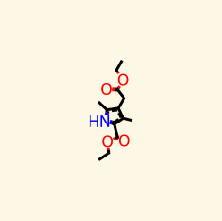 CCOC(=O)Cc1c(C)[nH]c(C(=O)OCC)c1C